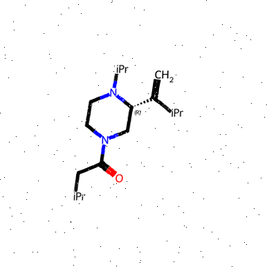 C=C(C(C)C)[C@@H]1CN(C(=O)CC(C)C)CCN1C(C)C